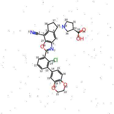 N#Cc1c2c(cc3nc(-c4cccc(-c5ccc6c(c5)OCCO6)c4Cl)oc13)[C@@H](N1CC[C@@H](C(=O)O)C1)CC2